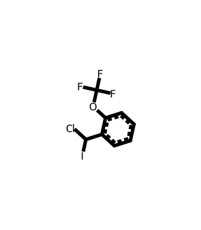 FC(F)(F)Oc1ccccc1C(Cl)I